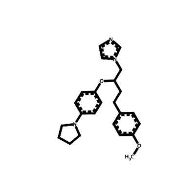 COc1ccc(CCC(Cn2ccnc2)Oc2ccc(N3CCCC3)cc2)cc1